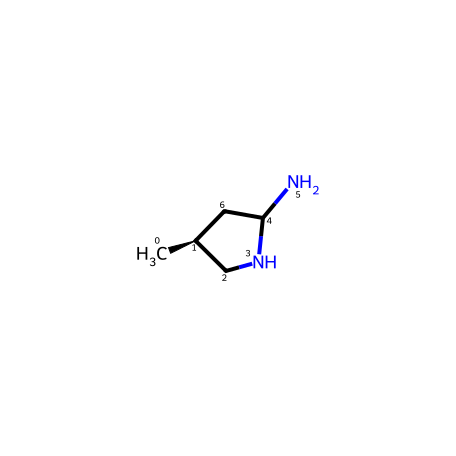 C[C@@H]1CNC(N)C1